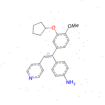 COc1ccc(/C(=C/c2ccncc2)c2ccc(N)cc2)cc1OC1CCCC1